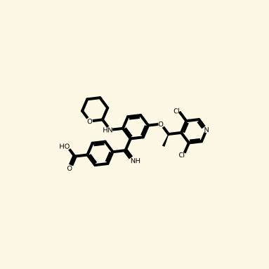 C[C@@H](Oc1ccc(NC2CCCCO2)c(C(=N)c2ccc(C(=O)O)cc2)c1)c1c(Cl)cncc1Cl